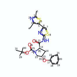 Cc1nc(C)c(-c2csc(NC(=O)[C@H]3C[C@H](Oc4ccccc4)CN3C(=O)OC(C)(C)C)n2)s1